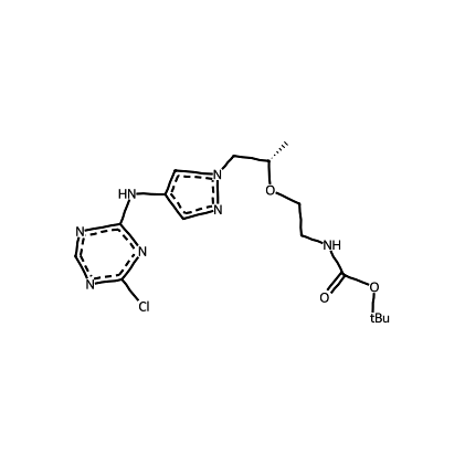 C[C@@H](Cn1cc(Nc2ncnc(Cl)n2)cn1)OCCNC(=O)OC(C)(C)C